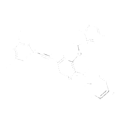 Fc1cc(F)cc(C#Cc2cnc(OCc3ccccc3)c(OCc3ccccc3)c2)c1